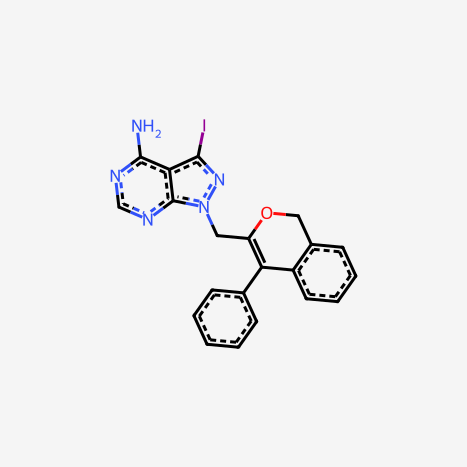 Nc1ncnc2c1c(I)nn2CC1=C(c2ccccc2)c2ccccc2CO1